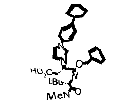 CNC(=O)[C@@H](N=C(OCc1ccccc1)[C@H](CC(=O)O)N1C=CN(c2ccc(-c3ccccc3)cc2)C1)C(C)(C)C